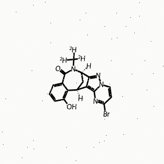 [2H]C([2H])([2H])N1C(=O)c2cccc(O)c2[C@H]2C[C@@H]1c1nn3ccc(Br)nc3c12